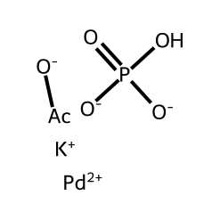 CC(=O)[O-].O=P([O-])([O-])O.[K+].[Pd+2]